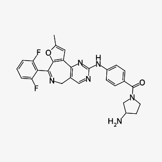 Cc1cc2c(o1)C(c1c(F)cccc1F)=NCc1cnc(Nc3ccc(C(=O)N4CCC(N)C4)cc3)nc1-2